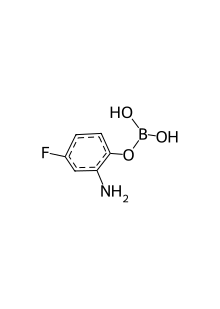 Nc1cc(F)ccc1OB(O)O